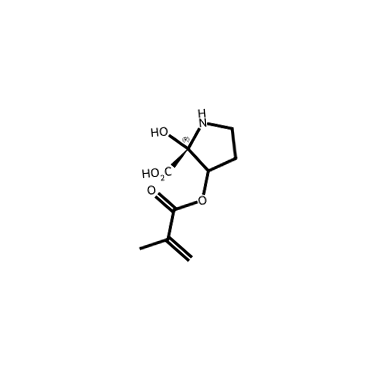 C=C(C)C(=O)OC1CCN[C@]1(O)C(=O)O